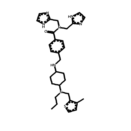 CCCN(Cc1sccc1C)C1CCC(NCc2ccc(C(=O)N(Cc3ncc[nH]3)Cc3ncc[nH]3)cc2)CC1